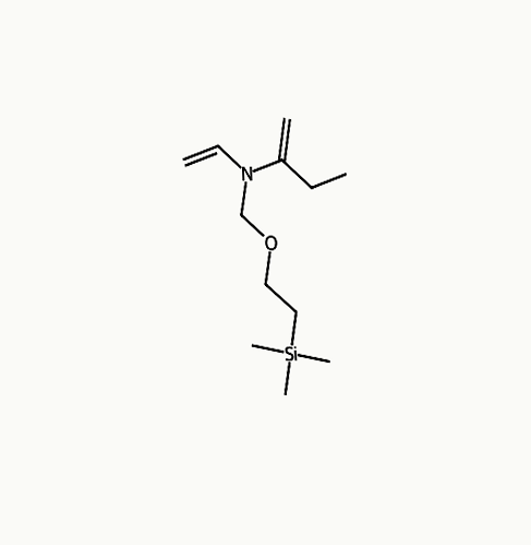 C=CN(COCC[Si](C)(C)C)C(=C)CC